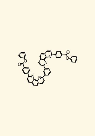 O=C(Oc1ccccc1)c1ccc(-c2ccc3ccc4ccc(-c5cccc(-c6ccc7ccc8ccc(-c9ccc(C(=O)Oc%10ccccc%10)cc9)nc8c7n6)c5)nc4c3n2)cc1